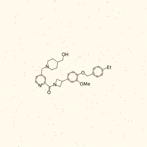 CCc1ccc(COc2ccc(C3CN(C(=O)c4cc(CN5CCC(CO)CC5)ccn4)C3)cc2OC)cc1